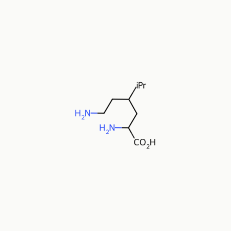 CC(C)C(CCN)CC(N)C(=O)O